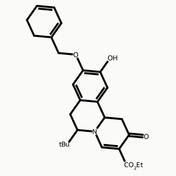 CCOC(=O)C1=CN2C(CC1=O)c1cc(O)c(OCC3=CC=CCC3)cc1CC2C(C)(C)C